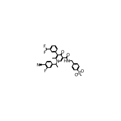 Cc1c(-c2cccc(C(F)F)c2)c(=O)c(C(=O)NCc2ccc(S(C)(=O)=O)cc2)cn1C(C)c1ccc(C#N)c(F)c1